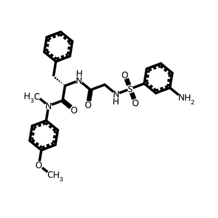 COc1ccc(N(C)C(=O)[C@H](Cc2ccccc2)NC(=O)CNS(=O)(=O)c2cccc(N)c2)cc1